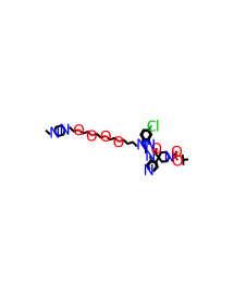 CCN1CCN(CCOCCOCCOCCOCCCCn2c(CN3C(=O)C4(CCN(C(=O)OC(C)(C)C)CC4)c4ccncc43)nc3cc(Cl)ccc32)CC1